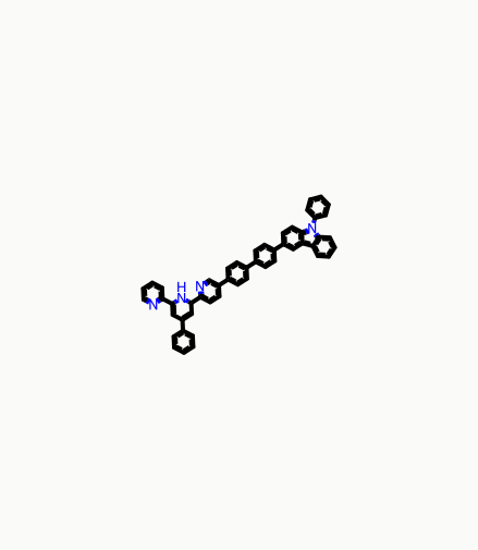 C1=C(c2ccccc2)C=C(c2ccccn2)NC1c1ccc(-c2ccc(-c3ccc(-c4ccc5c(c4)c4ccccc4n5-c4ccccc4)cc3)cc2)cn1